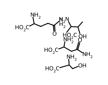 CC(O)C(N)C(=O)O.NC(=O)CC(N)C(=O)O.NC(=O)CCC(N)C(=O)O.NC(CO)C(=O)O